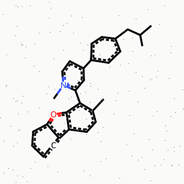 Cc1ccc2c(oc3ccccc32)c1-c1cc(-c2ccc(CC(C)C)cc2)cc[n+]1C